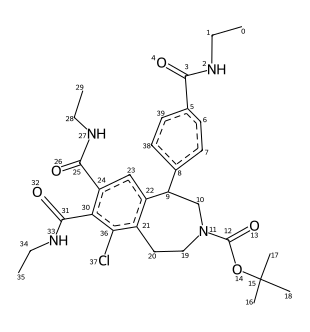 CCNC(=O)c1ccc(C2CN(C(=O)OC(C)(C)C)CCc3c2cc(C(=O)NCC)c(C(=O)NCC)c3Cl)cc1